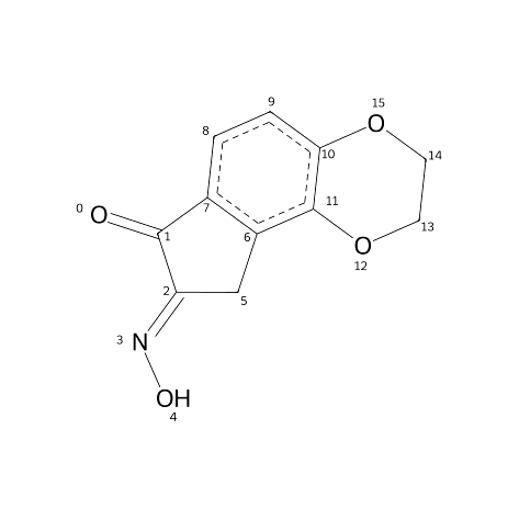 O=C1/C(=N/O)Cc2c1ccc1c2OCCO1